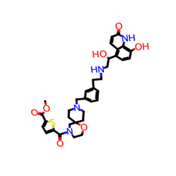 COC(=O)c1ccc(C(=O)N2CCOC3(CCN(Cc4cccc(CCNCC(O)c5ccc(O)c6[nH]c(=O)ccc56)c4)CC3)C2)s1